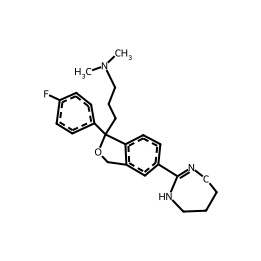 CN(C)CCCC1(c2ccc(F)cc2)OCc2cc(C3=NCCCCN3)ccc21